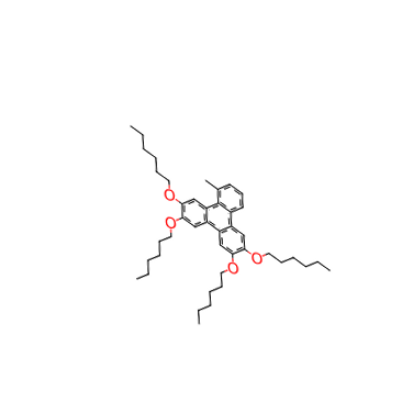 CCCCCCOc1cc2c(cc1OCCCCCC)c1cccc(C)c1c1cc(OCCCCCC)c(OCCCCCC)cc21